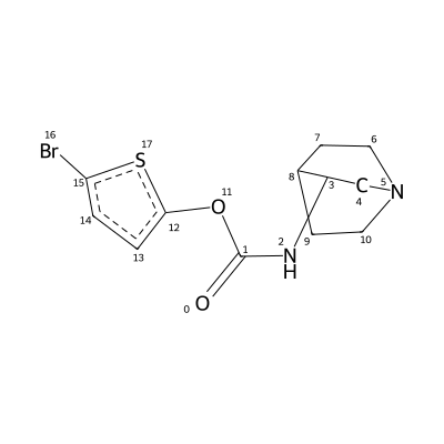 O=C(NC1CN2CCC1CC2)Oc1ccc(Br)s1